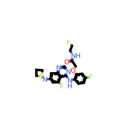 O=C(COc1cc(F)ccc1Nc1ncnc2cc(N=S3CCC3)cc(F)c12)NCCF